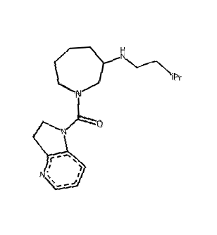 CC(C)CCNC1CCCCN(C(=O)N2CCc3ncccc32)C1